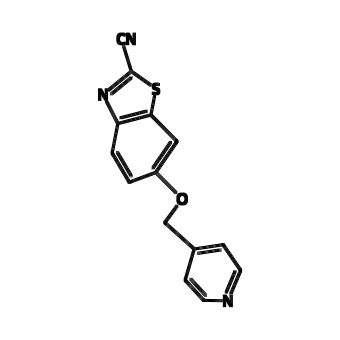 N#Cc1nc2ccc(OCc3ccncc3)cc2s1